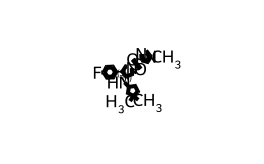 Cn1cnc(S(=O)(=O)N2C[C@H](NC3CCC(C)(C)C3)[C@@H](c3ccc(F)cc3)C2)c1